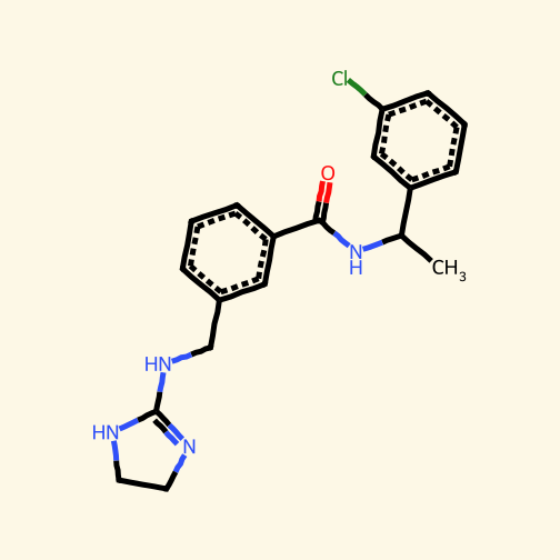 CC(NC(=O)c1cccc(CNC2=NCCN2)c1)c1cccc(Cl)c1